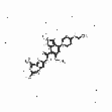 CCNC1CCN(c2cc(OC)c(C(=O)Nc3cn4cc(C)nc(C)c4n3)c3nn(C)cc23)CC1